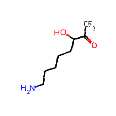 NCCCCCC(O)C(=O)C(F)(F)F